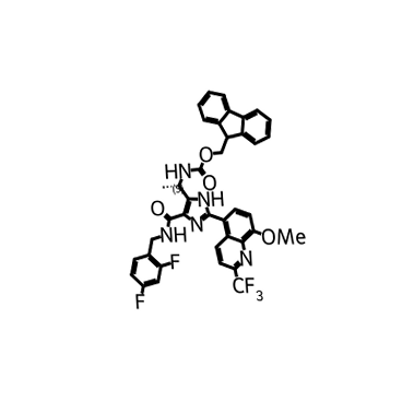 COc1ccc(-c2nc(C(=O)NCc3ccc(F)cc3F)c([C@H](C)NC(=O)OCC3c4ccccc4-c4ccccc43)[nH]2)c2ccc(C(F)(F)F)nc12